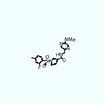 CNc1cnc(CNC(=O)c2ccn(S(=O)(=O)c3ccc(C)cc3F)c2)cn1